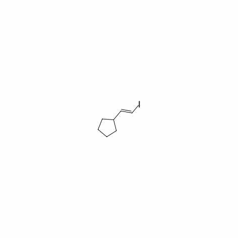 IC=CC1CCCC1